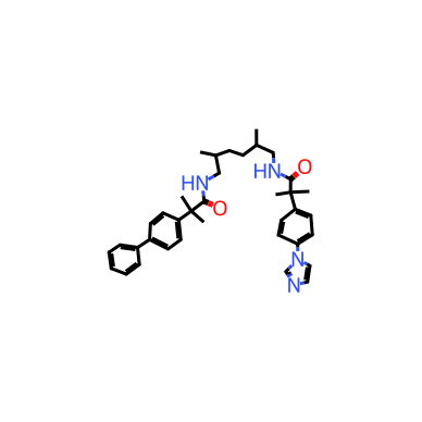 CC(CCC(C)CNC(=O)C(C)(C)c1ccc(-n2ccnc2)cc1)CNC(=O)C(C)(C)c1ccc(-c2ccccc2)cc1